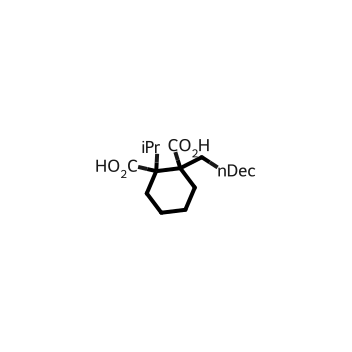 CCCCCCCCCCCC1(C(=O)O)CCCCC1(C(=O)O)C(C)C